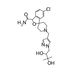 CC(C)(O)C(O)Cn1cc(CN2CCC3(CC2)OC(C(N)=O)c2ccc(Cl)cc23)cn1